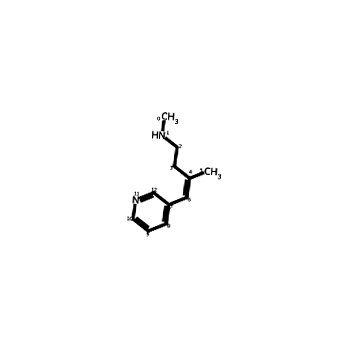 CNCC/C(C)=C\c1cccnc1